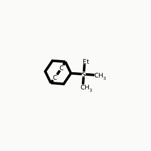 CCS(C)(C)C1CC2CCC1CC2